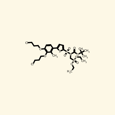 CCOP(=O)(CN(C(=O)OC(C)(C)C)S(=O)(=O)c1ccc(-c2ccc(OCCCCl)c(OCCCCl)c2C)s1)OCC